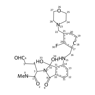 CNC(=O)C(CCC=O)N1C(=O)c2cccc(NCc3cccc(CN4CCOCC4)c3F)c2C1(O)O